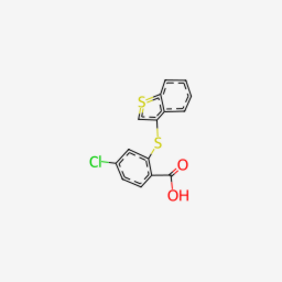 O=C(O)c1ccc(Cl)cc1Sc1csc2ccccc12